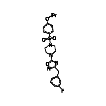 CC(C)Oc1ccc(S(=O)(=O)N2CCN(c3nc(Cc4cccc(F)c4)no3)CC2)cc1